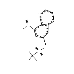 O=[N+]([O-])c1cc(OS(=O)(=O)C(F)(F)F)cc2cccnc12